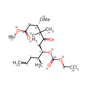 C=CC[C@H](C)[C@@H](CC(=O)C(C)(C)[C@H](CC(=O)OC(C)(C)C)OC)OC(=O)OCC(Cl)(Cl)Cl